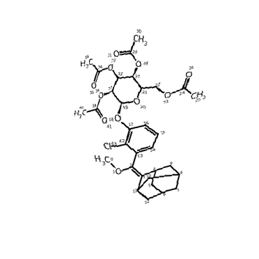 COC(=C1C2CC3CC(C2)CC1C3)c1cccc(O[C@@H]2OC(COC(C)=O)[C@H](OC(C)=O)C(OC(C)=O)[C@@H]2OC(C)=O)c1Cl